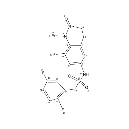 CCCN1C(=O)CCc2cc(NS(=O)(=O)Cc3cc(F)ccc3F)cc(F)c21